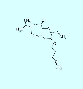 C=Cc1nc2c(cc1OCCCOC)OCC(C(C)C)CC2=O